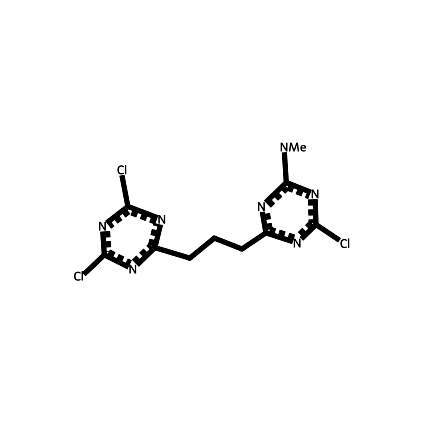 CNc1nc(Cl)nc(CCCc2nc(Cl)nc(Cl)n2)n1